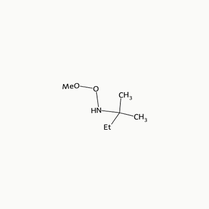 CCC(C)(C)NOOC